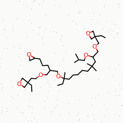 CCC1(CCOCC(CCCC2CO2)COC(C)(CC)CCCCCC(C)(C)CC(COCC2(CC)COC2)OCC(C)C)COC1